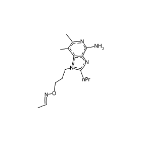 CC=NOCCCn1c(CCC)nc2c(N)nc(C)c(C)c21